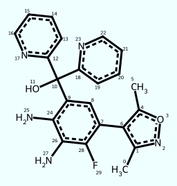 Cc1noc(C)c1-c1cc(C(O)(c2ccccn2)c2ccccn2)c(N)c(N)c1F